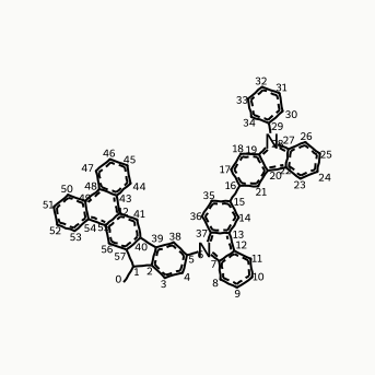 CC1c2ccc(-n3c4ccccc4c4cc(-c5ccc6c(c5)c5ccccc5n6-c5ccccc5)ccc43)cc2-c2cc3c4ccccc4c4ccccc4c3cc21